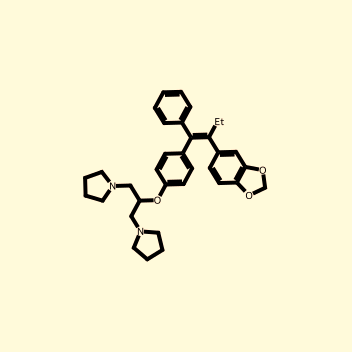 CCC(=C(c1ccccc1)c1ccc(OC(CN2CCCC2)CN2CCCC2)cc1)c1ccc2c(c1)OCO2